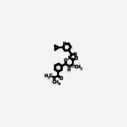 C[C@H](NC(=O)c1cccc(C(=O)N(C)C)c1)c1nc(-c2ccnc(C3CC3)c2)no1